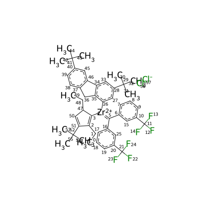 CCC1=[C]([Zr+2](=[C](c2cccc(C(F)(F)F)c2)c2cccc(C(F)(F)F)c2)[c]2cc(C(C)(C)C)cc3c2Cc2ccc(C(C)(C)C)cc2-3)C(CC)C=C1C(C)(C)C.[Cl-].[Cl-]